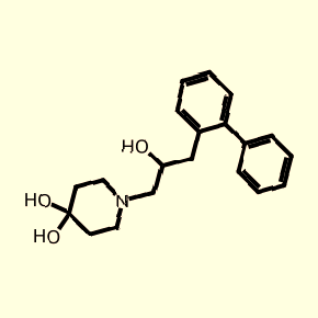 OC(Cc1ccccc1-c1ccccc1)CN1CCC(O)(O)CC1